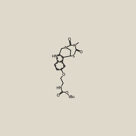 CN1C(=O)SC2CN(Cc3[nH]c4ccc(OCCNC(=O)OC(C)(C)C)cc4c32)C1=O